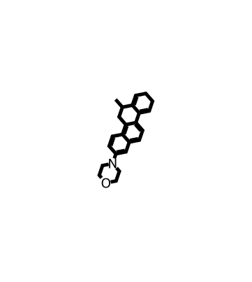 CC1Cc2c(ccc3cc(N4CCOCC4)ccc23)C2=CCCC=C21